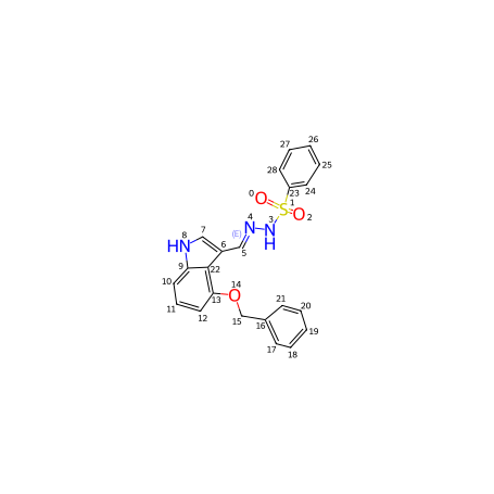 O=S(=O)(N/N=C/c1c[nH]c2cccc(OCc3ccccc3)c12)c1ccccc1